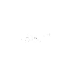 Cc1cc(C(F)(F)F)cc(O)c1-c1ccc(N2CCOC(C(C)(C)O)C2)nn1